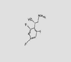 CNCC(O)c1c(F)cc(F)cc1F